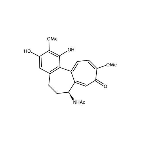 COc1c(O)cc2c(c1O)-c1ccc(OC)c(=O)cc1[C@@H](NC(C)=O)CC2